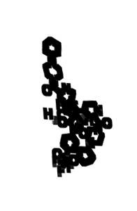 CC(c1ccnc(C(=O)N2CCN(c3ccccc3)CC2)c1)C1(C(C)c2ccnc(C(=O)N3CCN(c4ccccc4)CC3)c2)NC(=O)N(c2ccc(S(=O)(=O)C(F)(F)F)cc2)C1=O